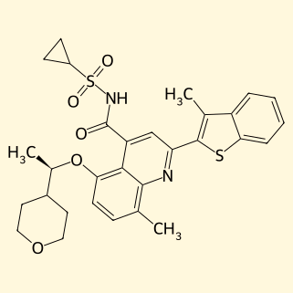 Cc1c(-c2cc(C(=O)NS(=O)(=O)C3CC3)c3c(O[C@H](C)C4CCOCC4)ccc(C)c3n2)sc2ccccc12